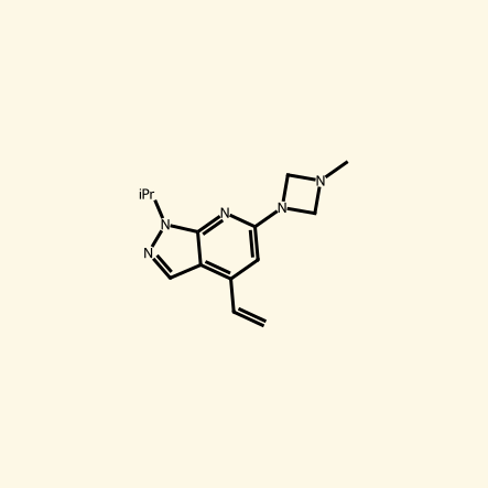 C=Cc1cc(N2CN(C)C2)nc2c1cnn2C(C)C